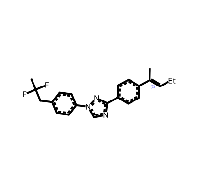 CC/C=C(\C)c1ccc(-c2ncn(-c3ccc(CC(C)(F)F)cc3)n2)cc1